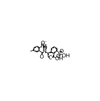 Cc1ccc([N+](=O)[O-])c(C(=O)Nc2ccc(O)c3c(S(=O)(=O)O)cccc23)c1